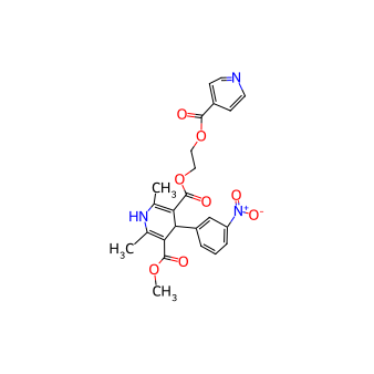 COC(=O)C1=C(C)NC(C)=C(C(=O)OCCOC(=O)c2ccncc2)C1c1cccc([N+](=O)[O-])c1